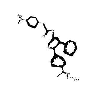 CC(=O)N(C)[C@H]1CC[C@H](CC(=O)Nc2cnc(-c3ccc([C@H](C)NC(=O)O)cc3)c(-c3ccccc3)c2)CC1